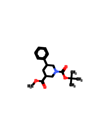 COC(=O)C1CC(c2ccccc2)CN(C(=O)OC(C)(C)C)C1